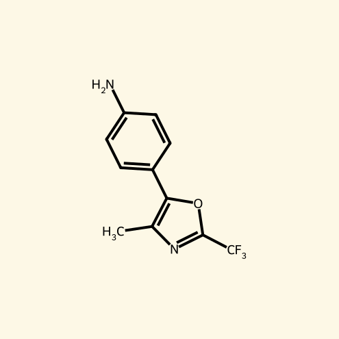 Cc1nc(C(F)(F)F)oc1-c1ccc(N)cc1